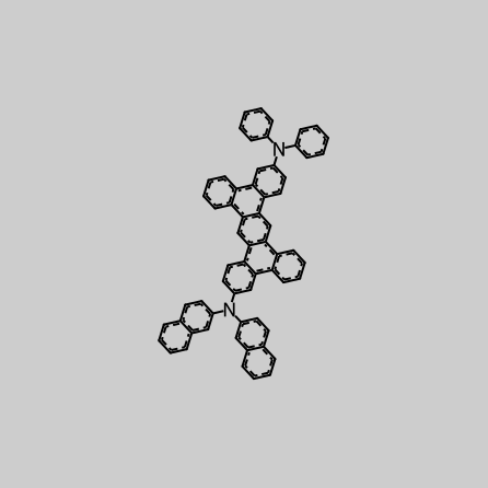 c1ccc(N(c2ccccc2)c2ccc3c(c2)c2ccccc2c2cc4c5ccc(N(c6ccc7ccccc7c6)c6ccc7ccccc7c6)cc5c5ccccc5c4cc32)cc1